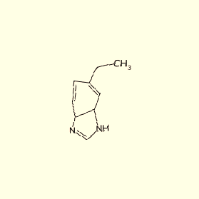 CCC1=CC2NC=NC2C=C1